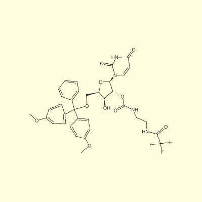 COc1ccc(C(OC[C@H]2O[C@@H](n3ccc(=O)[nH]c3=O)[C@H](OC(=O)NCCNC(=O)C(F)(F)F)[C@H]2O)(c2ccccc2)c2ccc(OC)cc2)cc1